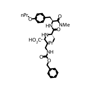 CCCOc1ccc(C[C@H](NC(=O)[C@H](CC(C)C)N[C@H](CCNC(=O)OCc2ccccc2)C(=O)O)C(=O)NC)cc1